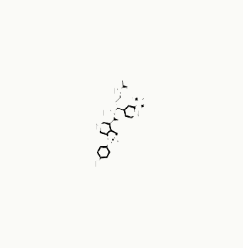 CC(=O)NCC[C@H](NC(=O)c1cncc2c1cnn2-c1ccc(F)cc1)c1ccnc(S(C)(=O)=O)c1